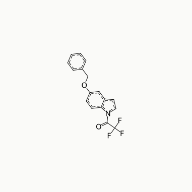 O=C(n1ccc2cc(OCc3ccccc3)ccc21)C(F)(F)F